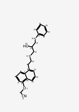 N#CCOc1cccc2c(CCSCC(O)CSc3ccccc3)cccc12